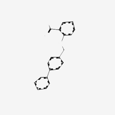 O=C(O)c1ccccc1OCc1ccc(-c2ccccc2)cc1